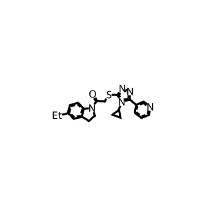 CCc1ccc2c(c1)CCN2C(=O)CSc1nnc(-c2cccnc2)n1C1CC1